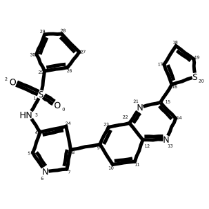 O=S(=O)(Nc1cncc(-c2ccc3ncc(-c4cccs4)nc3c2)c1)c1ccccc1